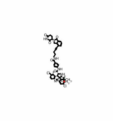 CC(C)(C)C[C@@H]1N[C@@H](C(=O)Nc2ccc(C(=O)NCCCC#Cc3cccc4c3CN(C3CCC(=O)NC3=O)C4=O)cc2)[C@H](c2cccc(Cl)c2F)[C@@]1(C#N)c1ccc(Cl)cc1F